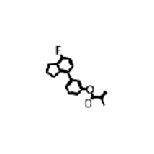 C=C(C)C(=O)Oc1cccc(-c2ccc(F)c3c2CCC3)c1